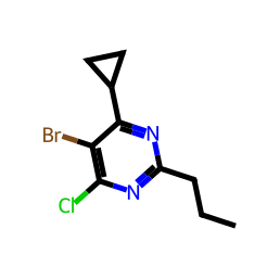 CCCc1nc(Cl)c(Br)c(C2CC2)n1